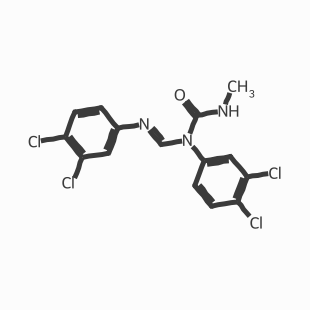 CNC(=O)N(C=Nc1ccc(Cl)c(Cl)c1)c1ccc(Cl)c(Cl)c1